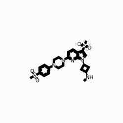 CN[C@H]1C[C@@H](n2cc(S(C)(=O)=O)c3ccc(N4CCN(c5ccc(S(C)(=O)=O)cc5)CC4)nc32)C1